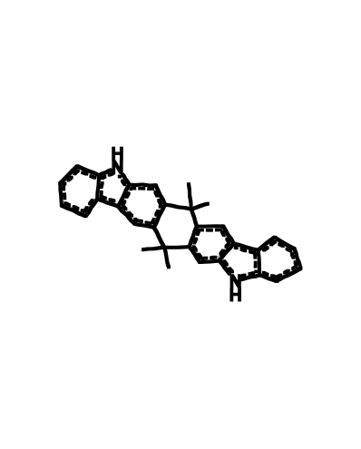 CC1(C)c2cc3[nH]c4ccccc4c3cc2C(C)(C)c2cc3[nH]c4ccccc4c3cc21